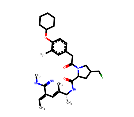 C/C=C(\C=C(/C)[C@@H](C)NC(=O)C1CC(CF)CN1C(=O)Cc1ccc(OC2CCCCC2)c(C)c1)C(=N)NC